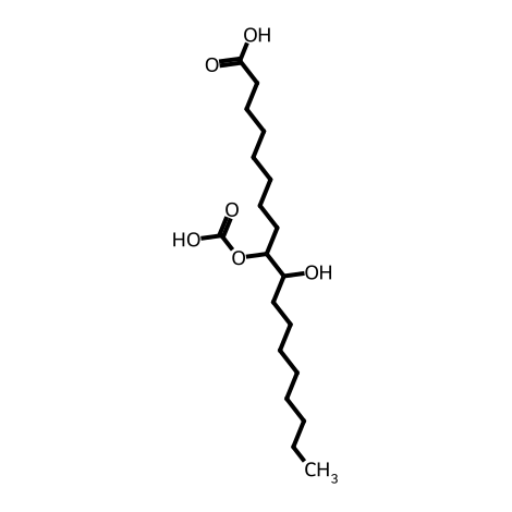 CCCCCCCCC(O)C(CCCCCCCC(=O)O)OC(=O)O